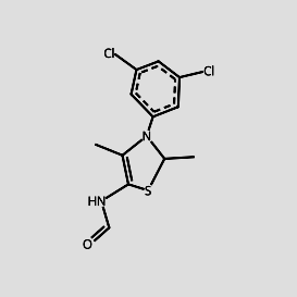 CC1=C(NC=O)SC(C)N1c1cc(Cl)cc(Cl)c1